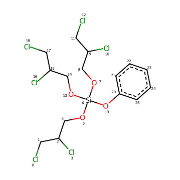 ClCC(Cl)CO[Si](OCC(Cl)CCl)(OCC(Cl)CCl)Oc1ccccc1